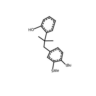 CSc1cc(CC(C)(C)c2ccccc2O)ccc1C(C)(C)C